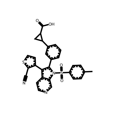 Cc1ccc(S(=O)(=O)n2c(-c3cccc(C4CC4C(=O)O)c3)c(-c3ccsc3C#N)c3ccncc32)cc1